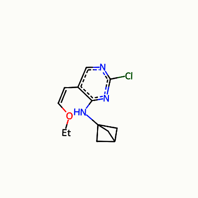 CCO/C=C\c1cnc(Cl)nc1NC12CC(C1)C2